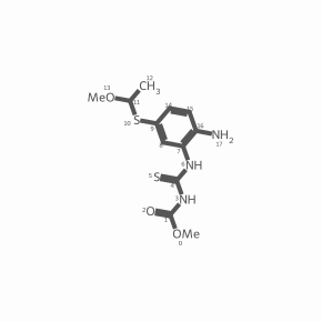 COC(=O)NC(=S)Nc1cc(SC(C)OC)ccc1N